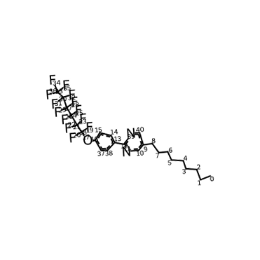 CCCCCCCCCc1cnc(-c2ccc(OC(F)(F)C(F)(F)C(F)(F)C(F)(F)C(F)(F)C(F)(F)F)cc2)nc1